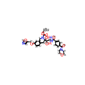 CC(C)(C)OC(=O)N1Cc2cc(OCc3cnco3)ccc2C[C@]1(O)[C@H](O)CNC(=O)c1ccc(C(=O)N2CCOCC2)cc1